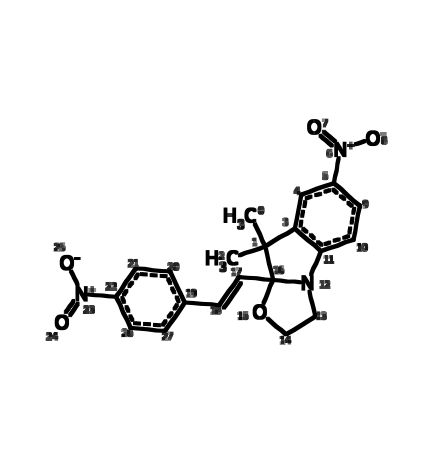 CC1(C)c2cc([N+](=O)[O-])ccc2N2CCOC21C=Cc1ccc([N+](=O)[O-])cc1